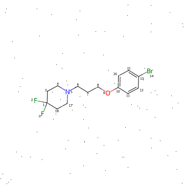 FC1(F)CCN(CCCOc2ccc(Br)cc2)CC1